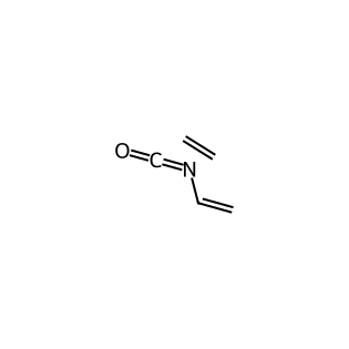 C=C.C=CN=C=O